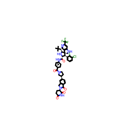 CC(C)(C)C[C@@H]1N[C@@H](C(=O)NC23CCC(C(=O)N4CC[C@@H](c5ccc6c(c5)CN(C5CCC(=O)NC5=O)C6=O)C4)(CC2)CC3)[C@H](c2cccc(Cl)c2F)[C@]12CNc1cc(C(F)(F)F)ncc12